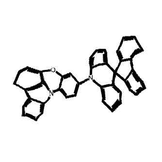 C1=C2Oc3cc(N4c5ccccc5C5(c6ccccc6-c6ccccc65)c5ccccc54)ccc3-n3c2c(c2ccccc23)CC1